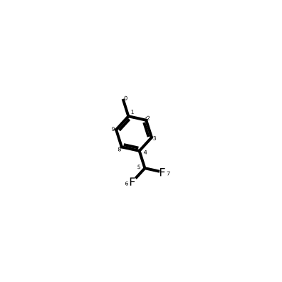 Cc1[c]cc(C(F)F)cc1